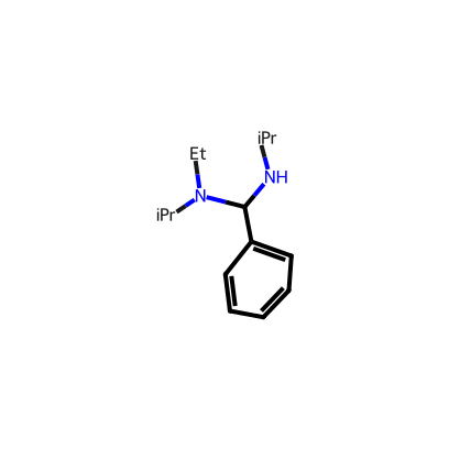 CCN(C(C)C)C(NC(C)C)c1ccccc1